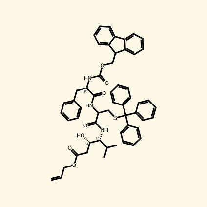 C=CCOC(=O)C[C@H](O)[C@H](NC(=O)C(CSC(c1ccccc1)(c1ccccc1)c1ccccc1)NC(=O)[C@@H](Cc1ccccc1)NC(=O)OCC1c2ccccc2-c2ccccc21)C(C)C